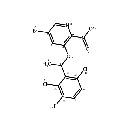 CC(Oc1cc(Br)cnc1[N+](=O)[O-])c1c(Cl)ccc(F)c1Cl